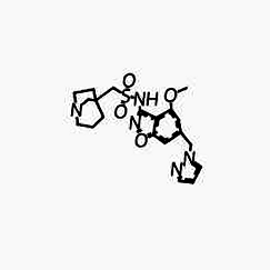 COc1cc(Cn2cccn2)cc2onc(NS(=O)(=O)CC34CCCN(CC3)C4)c12